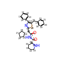 O=C(NC(=O)[C@@H](c1nc(-c2ccccc2)c(Cc2ccccc2)s1)C1CCCC1)[C@H]1CCCCN1